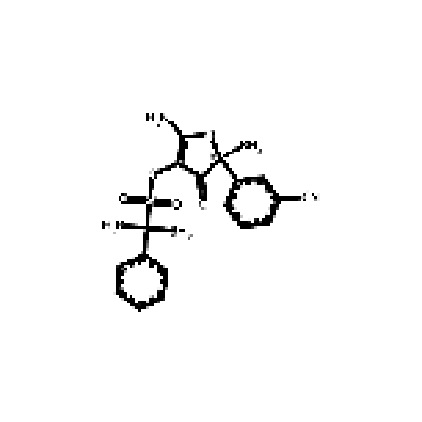 BC(B)(c1ccccc1)S(=O)(=O)OC1=C(N)O[C@](B)(c2cccc(C#N)c2)C1=O